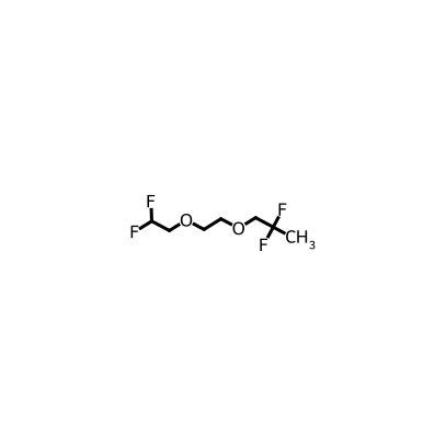 CC(F)(F)COCCOCC(F)F